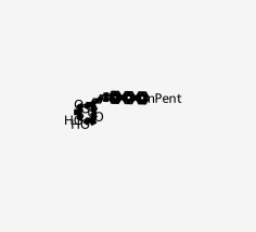 C=C(CO)C(=O)OCC(CCCS(C)(C)c1ccc(C2CCC(C3CCC(CCCCC)CC3)CC2)cc1)COC(=O)C(=C)CO